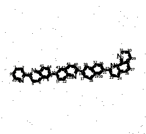 c1ccc(-c2ccc3cc(-c4ccc5nc(-c6ccc7cc(-c8ccc9ccc%10cccnc%10c9n8)ccc7c6)ccc5c4)ccc3n2)nc1